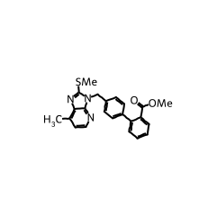 COC(=O)c1ccccc1-c1ccc(Cn2c(SC)nc3c(C)ccnc32)cc1